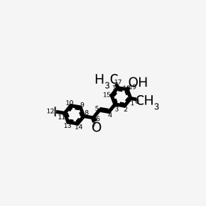 Cc1cc(C=CC(=O)c2ccc(I)cc2)cc(C)c1O